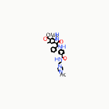 COC(=O)c1cc2c(cc1C)/C(=C(/Nc1ccc(C(=O)NCCN3CCN(C(C)=O)CC3)cc1)c1ccccc1)C(=O)N2